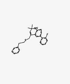 CC1(C)C=C(CSCCc2ccccc2)c2cc(-c3ccccc3F)ccc2N1